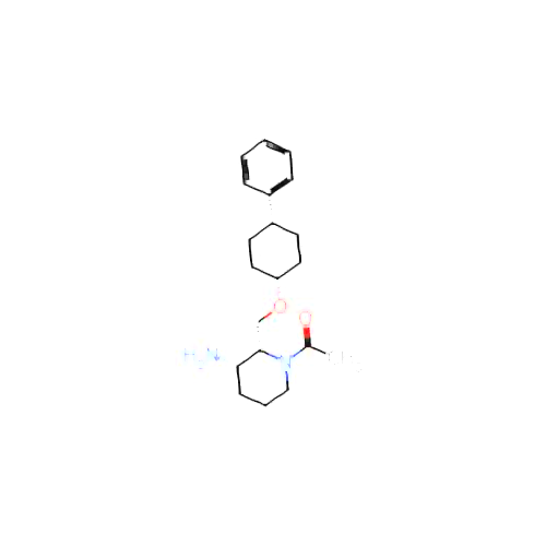 CC(=O)N1CCC[C@H](N)[C@@H]1CO[C@H]1CC[C@@H](c2ccccc2)CC1